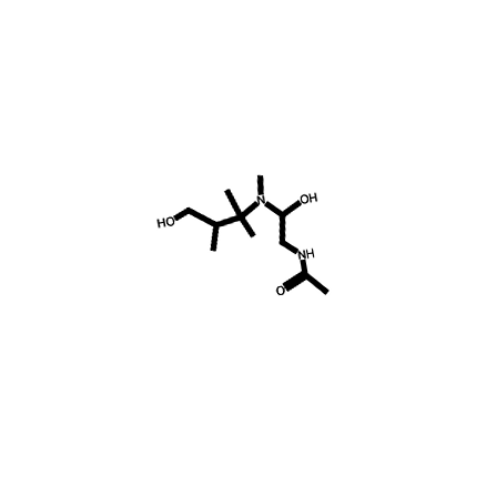 CC(=O)NCC(O)N(C)C(C)(C)C(C)CO